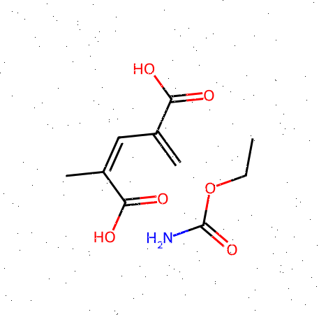 C=C(C=C(C)C(=O)O)C(=O)O.CCOC(N)=O